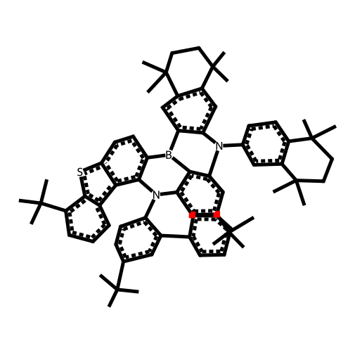 CC(C)(C)c1ccc(N2c3cc(C(C)(C)C)cc4c3B(c3cc5c(cc3N4c3ccc4c(c3)C(C)(C)CCC4(C)C)C(C)(C)CCC5(C)C)c3ccc4sc5c(C(C)(C)C)cccc5c4c32)c(-c2ccccc2)c1